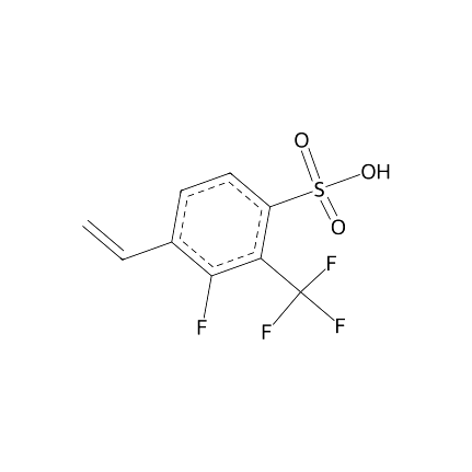 C=Cc1ccc(S(=O)(=O)O)c(C(F)(F)F)c1F